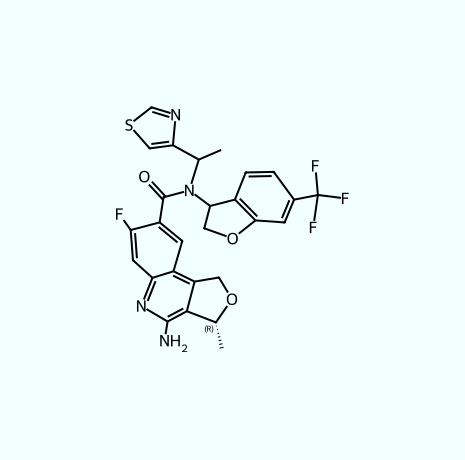 CC(c1cscn1)N(C(=O)c1cc2c3c(c(N)nc2cc1F)[C@@H](C)OC3)C1COc2cc(C(F)(F)F)ccc21